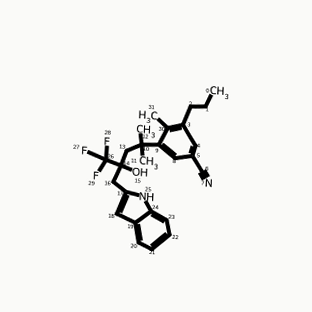 CCCc1cc(C#N)cc(C(C)(C)CC(O)(Cc2cc3ccccc3[nH]2)C(F)(F)F)c1C